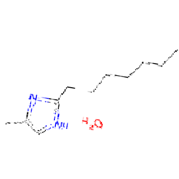 CCCCCCCc1nc(C)c[nH]1.O